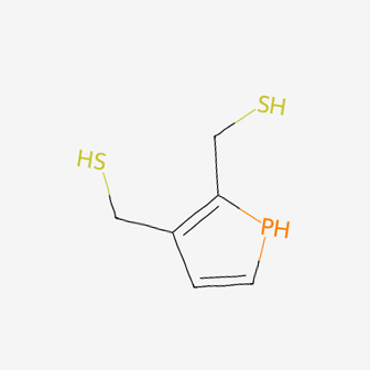 SCc1cc[pH]c1CS